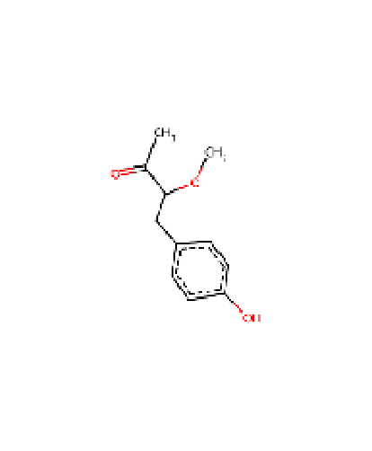 COC(Cc1ccc(O)cc1)C(C)=O